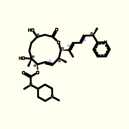 C/C(=C\C=C\[C@@H](C)c1ccccn1)[C@H]1OC(=O)C[C@H](O)CC[C@@](C)(O)[C@@H](OC(=O)N(C)C2CCN(C)CC2)/C=C/[C@@H]1C